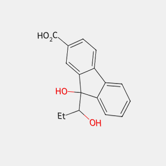 CCC(O)C1(O)c2ccccc2-c2ccc(C(=O)O)cc21